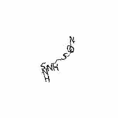 CNC(=S)NCCCCSCc1ccc(CN(C)C)o1